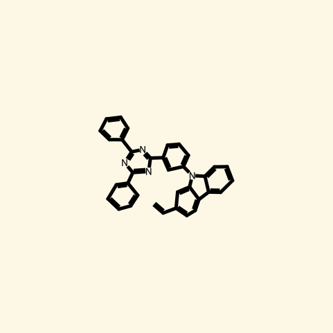 C=Cc1ccc2c3ccccc3n(-c3cccc(-c4nc(-c5ccccc5)nc(-c5ccccc5)n4)c3)c2c1